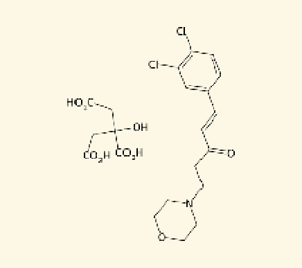 O=C(C=Cc1ccc(Cl)c(Cl)c1)CCN1CCOCC1.O=C(O)CC(O)(CC(=O)O)C(=O)O